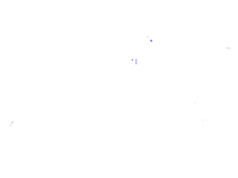 COc1ccc(COCC2CCc3nc(-c4ccc(F)cc4)c(-c4ccnc(NC5CCC5)c4)n32)cc1